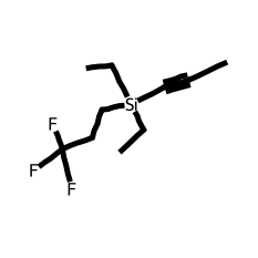 CC#C[Si](CC)(CC)CCC(F)(F)F